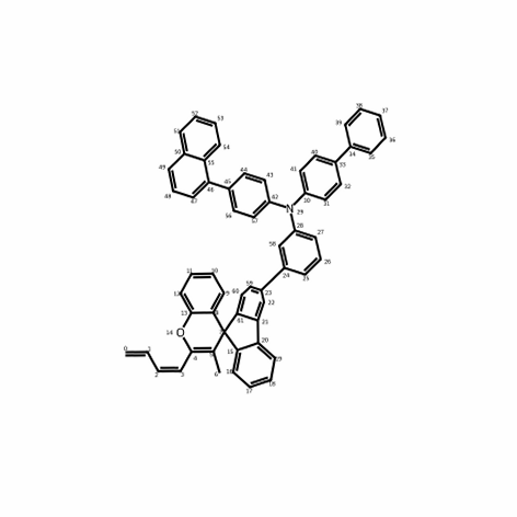 C=C/C=C\C1=C(C)C2(c3ccccc3O1)c1ccccc1-c1cc(-c3cccc(N(c4ccc(-c5ccccc5)cc4)c4ccc(-c5cccc6ccccc56)cc4)c3)ccc12